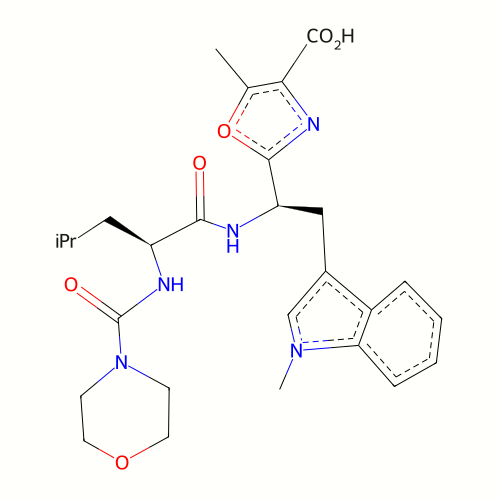 Cc1oc([C@@H](Cc2cn(C)c3ccccc23)NC(=O)[C@H](CC(C)C)NC(=O)N2CCOCC2)nc1C(=O)O